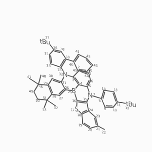 Cc1cc2c3c(c1)N(c1ccc(C(C)(C)C)cc1)c1c(sc4ccc(C)cc14)B3c1cc3c(cc1N2c1ccc(C(C)(C)C)cc1-c1ccccc1)C(C)(C)CCC3(C)C